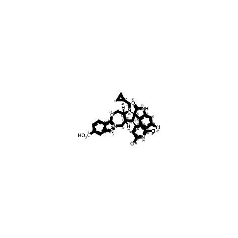 O=C(O)c1ccc2c3n(nc2c1)C[C@@H]1[C@H](CO3)N(CC2CC2)[C@@]2(C(=O)Nc3cc(Cl)ccc32)[C@H]1c1cc(Cl)nc(Cl)c1